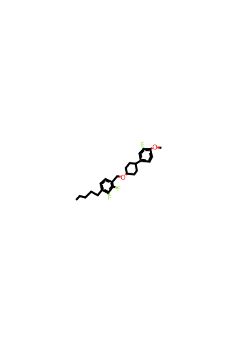 CCCCCc1ccc(COC2CCC(c3ccc(OC)c(F)c3)CC2)c(F)c1F